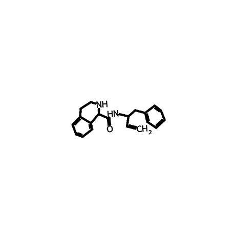 C=CC(Cc1ccccc1)NC(=O)C1NCCc2ccccc21